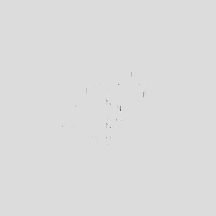 O=c1cc(C(F)(F)F)cnn1-c1c(F)cc(Cl)c(O)c1[N+](=O)[O-]